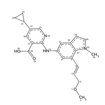 COC/C=C/c1cc(Nc2ncc(C3CC3)cc2C(=O)O)cc2ccn(C)c12